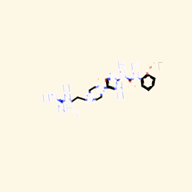 N=C(N)NCCCN1CCN(c2c[nH]c(NC(=O)Nc3ccccc3OC(F)(F)F)nc2=O)CC1